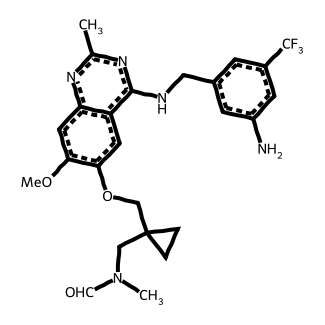 COc1cc2nc(C)nc(NCc3cc(N)cc(C(F)(F)F)c3)c2cc1OCC1(CN(C)C=O)CC1